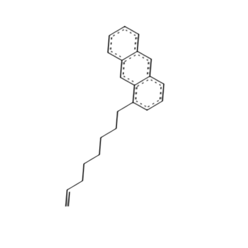 [CH]=CCCCCCCc1cccc2cc3ccccc3cc12